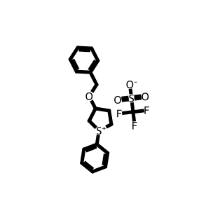 O=S(=O)([O-])C(F)(F)F.c1ccc(COC2CC[S+](c3ccccc3)C2)cc1